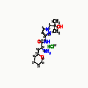 CC(C)(O)Cn1ccc(NC(=O)C(N)C[C@@H]2CCCCO2)n1.Cl